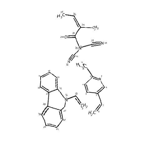 C=Cc1ccc(C)nc1.C=Cn1c2ccccc2c2ccccc21.CC=C(C)C(=O)N(C#N)C#N